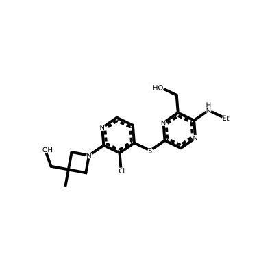 CCNc1ncc(Sc2ccnc(N3CC(C)(CO)C3)c2Cl)nc1CO